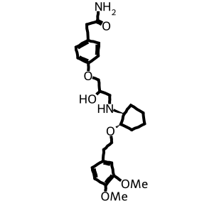 COc1ccc(CCO[C@H]2CCCC[C@@H]2NCC(O)COc2ccc(CC(N)=O)cc2)cc1OC